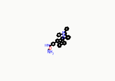 N=C(OCN)C1C=CC(c2ccc3c(c2)C2(c4ccccc4-c4ccccc42)c2cc(-c4ccccc4C4=CC(c5ccccc5)=NC(C5C=CC=CC5)N4)ccc2-3)=CC1